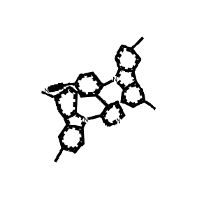 Cc1ccc2c(c1)c1cc(C)ccc1n2-c1ccc(C#N)cc1-c1ccncc1-n1c2ccc(C)cc2c2cc(C)ccc21